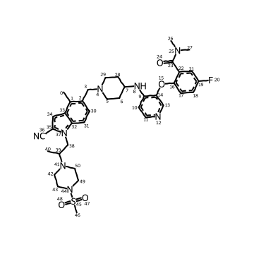 Cc1c(CN2CCC(Nc3ccncc3Oc3ccc(F)cc3C(=O)N(C)C)CC2)ccc2c1cc(C#N)n2CC(C)N1CCN(S(C)(=O)=O)CC1